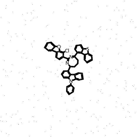 Clc1c(C2=N/C(c3cccc4c3c3ccccc3n4-c3ccccc3)CCC/C(c3cccc4sc5ccccc5c34)=N\2)ccc2c1oc1ccccc12